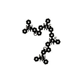 C1=C(c2ccc3sc4c(-c5ccccc5)nc(-c5cccc(-c6cccc7oc8cc(-c9nc(-c%10ccccc%10)nc(-c%10ccccc%10)n9)ccc8c67)c5)nc4c3c2)CCC(c2nc(-c3cccc(-c4cccc5c4oc4ccc(-c6nc(-c7ccccc7)nc(-c7ccccc7)n6)cc45)c3)nc3c2sc2ccccc23)=C1